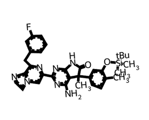 Cc1ccc(C2(C)C(=O)Nc3nc(-c4cn5ccnc5c(Cc5cccc(F)c5)n4)nc(N)c32)cc1O[Si](C)(C)C(C)(C)C